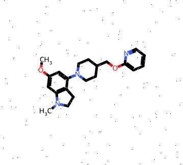 COc1cc2c(c(N3CCC(COc4ccccn4)CC3)c1)CCN2C